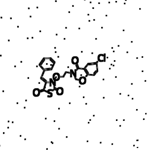 O=C1SC(=O)N(OCCN2COc3ccc(Cl)cc3C2=O)C1=Cc1ccccc1